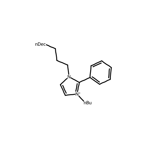 CCCCCCCCCCCCCn1cc[n+](CCCC)c1-c1ccccc1